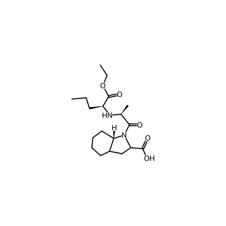 CCC[C@H](N[C@@H](C)C(=O)N1C(C(=O)O)CC2CCCC[C@@H]21)C(=O)OCC